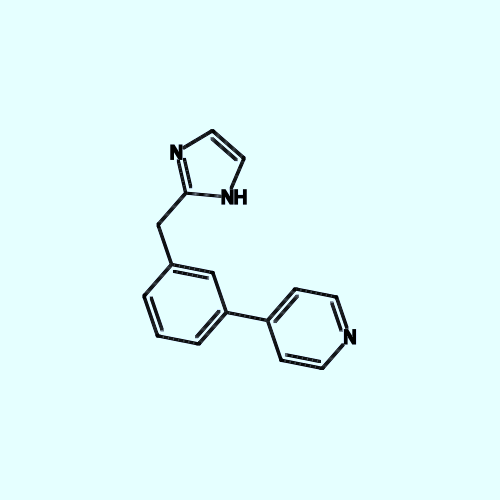 c1cc(Cc2ncc[nH]2)cc(-c2ccncc2)c1